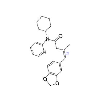 C/C(=C/c1ccc2c(c1)OCO2)CC(=O)N(c1ccccn1)C1CCCCC1